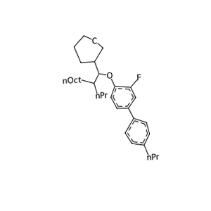 CCCCCCCCC(CCC)C(Oc1ccc(-c2ccc(CCC)cc2)cc1F)C1CCCCC1